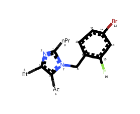 CCCc1nc(CC)c(C(C)=O)n1Cc1ccc(Br)cc1F